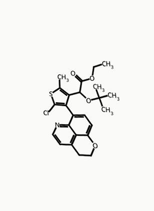 CCOC(=O)C(OC(C)(C)C)c1c(C)sc(Cl)c1-c1ccc2c3c(ccnc13)CCO2